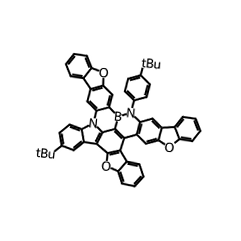 CC(C)(C)c1ccc(N2B3c4cc5oc6ccccc6c5cc4-n4c5ccc(C(C)(C)C)cc5c5c6oc7ccccc7c6c(c3c54)-c3cc4oc5ccccc5c4cc32)cc1